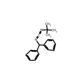 CC(C)(C)N=C=NC(c1ccccc1)c1ccccc1